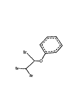 Br[C](Br)C(Br)Oc1ccccc1